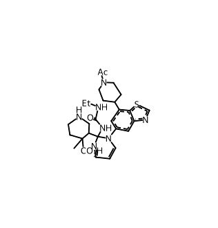 CCNC(=O)NC1(C2CNCCC2(C)C(=O)O)N=CC=CN1c1cc(C2CCN(C(C)=O)CC2)c2scnc2c1